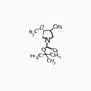 CO[C@H]1CN(C(=O)OC(C)(C)C)C[C@@H]1O